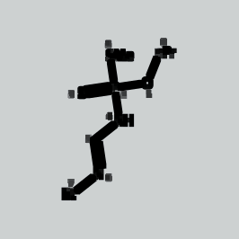 CCCOP(=S)(NC=NCC)SC